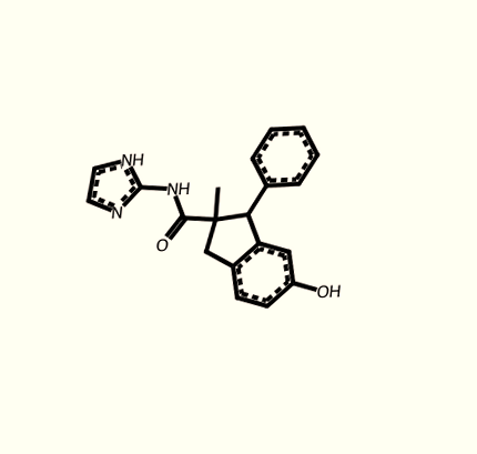 CC1(C(=O)Nc2ncc[nH]2)Cc2ccc(O)cc2C1c1ccccc1